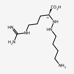 N=C(N)NCCC[C@H](NNCCCCN)C(=O)O